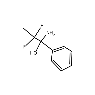 CC(F)(F)C(N)(O)c1ccccc1